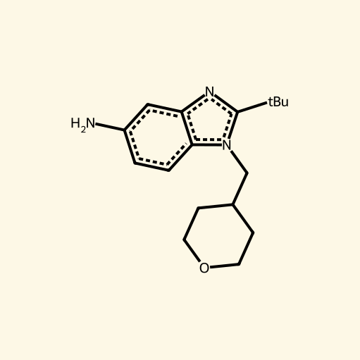 CC(C)(C)c1nc2cc(N)ccc2n1CC1CCOCC1